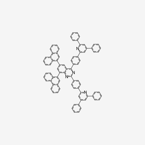 c1ccc(-c2cc(-c3ccccc3)nc(-c3ccc(-c4nc(-c5ccc(-c6cc(-c7ccccc7)cc(-c7ccccc7)n6)cc5)c5cc(-c6cc7ccccc7c7ccccc67)cc(-c6cc7ccccc7c7ccccc67)c5n4)cc3)c2)cc1